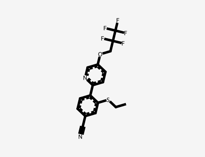 CCSc1cc(C#N)ccc1-c1ccc(OCC(F)(F)C(F)(F)F)cn1